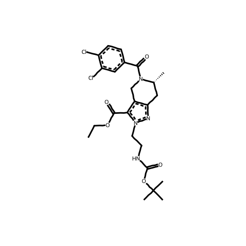 CCOC(=O)c1c2c(nn1CCNC(=O)OC(C)(C)C)C[C@@H](C)N(C(=O)c1ccc(Cl)c(Cl)c1)C2